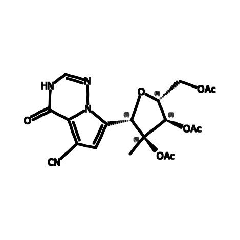 [C-]#[N+]c1cc([C@@H]2O[C@H](COC(C)=O)[C@@H](OC(C)=O)[C@@]2(C)OC(C)=O)n2nc[nH]c(=O)c12